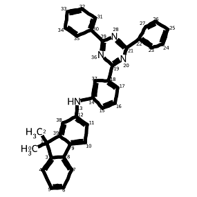 CC1(C)c2ccccc2-c2ccc(Nc3cccc(-c4nc(-c5ccccc5)nc(-c5ccccc5)n4)c3)cc21